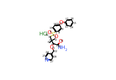 CC(C)(CS(=O)(=O)c1ccc(Oc2ccccc2)cc1)C(OCc1ccncc1)C(N)=O.Cl